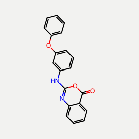 O=c1oc(Nc2cccc(Oc3ccccc3)c2)nc2ccccc12